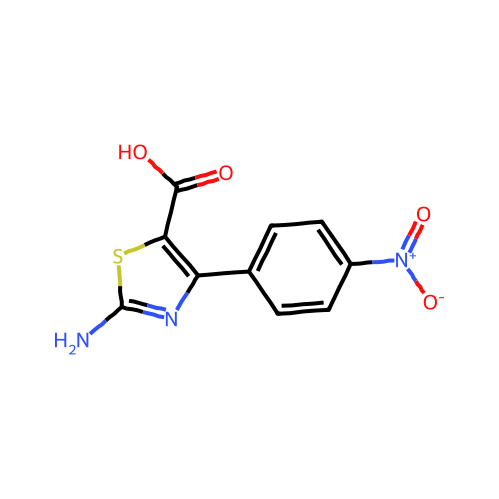 Nc1nc(-c2ccc([N+](=O)[O-])cc2)c(C(=O)O)s1